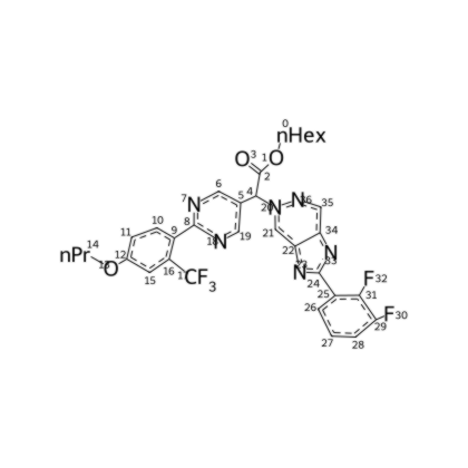 CCCCCCOC(=O)C(c1cnc(-c2ccc(OCCC)cc2C(F)(F)F)nc1)n1cc2nc(-c3cccc(F)c3F)nc-2cn1